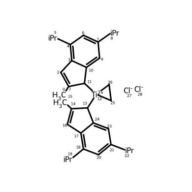 CC1=Cc2c(C(C)C)cc(C(C)C)cc2[CH]1[Ti+2]1([CH]2C(C)=Cc3c(C(C)C)cc(C(C)C)cc32)[CH2][CH2]1.[Cl-].[Cl-]